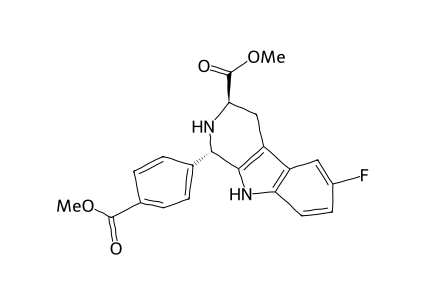 COC(=O)c1ccc([C@@H]2N[C@@H](C(=O)OC)Cc3c2[nH]c2ccc(F)cc32)cc1